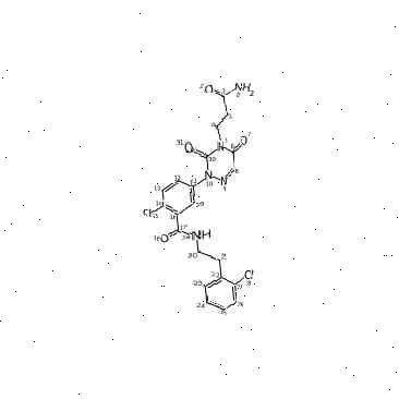 NC(=O)CCn1c(=O)cnn(-c2ccc(Cl)c(C(=O)NCCc3ccccc3Cl)c2)c1=O